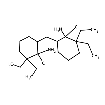 CCC1(CC)CCCC(CC2CCCC(CC)(CC)C2(N)Cl)C1(N)Cl